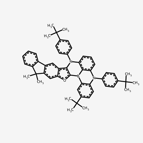 CC(C)(C)c1ccc(N2c3ccc(C(C)(C)C)cc3B3c4oc5cc6c(cc5c4N(c4ccc(C(C)(C)C)cc4)c4cccc2c43)-c2ccccc2C6(C)C)cc1